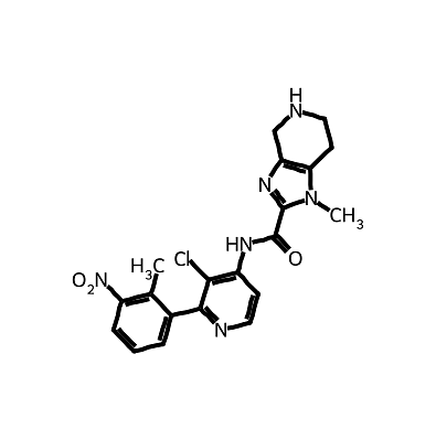 Cc1c(-c2nccc(NC(=O)c3nc4c(n3C)CCNC4)c2Cl)cccc1[N+](=O)[O-]